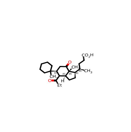 CCC(=O)C1[C@@H](C2(C)CCCCC2)CC(=O)[C@]2(C)[C@@H]([C@H](C)CCC(=O)O)CC[C@@H]12